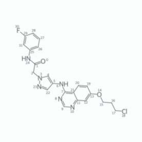 O=C(Cn1cc(Nc2ncnc3cc(OCCCCl)ccc23)cn1)Nc1cccc(F)c1